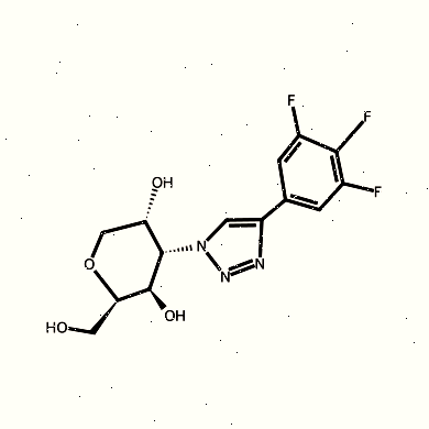 OC[C@H]1OC[C@H](O)[C@H](n2cc(-c3cc(F)c(F)c(F)c3)nn2)[C@H]1O